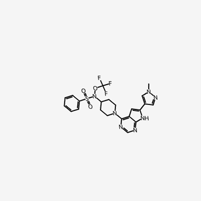 Cn1cc(-c2cc3c(N4CCC(N(OC(F)(F)F)S(=O)(=O)c5ccccc5)CC4)ncnc3[nH]2)cn1